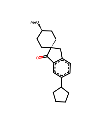 CO[C@H]1CC[C@]2(CC1)Cc1ccc(C3CCCC3)cc1C2=O